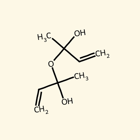 C=CC(C)(O)OC(C)(O)C=C